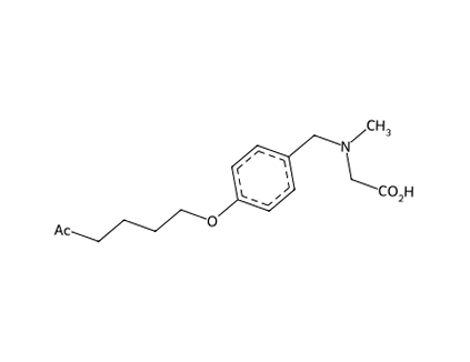 CC(=O)CCCCOc1ccc(CN(C)CC(=O)O)cc1